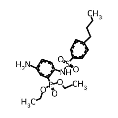 CCCCc1ccc(S(=O)(=O)Nc2ccc(N)cc2P(=O)(OCC)OCC)cc1